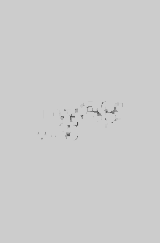 COC(=O)c1cc(C)nc(N2CCC(COc3cccc(Cl)c3C(F)(F)F)C2)n1